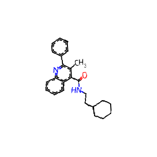 Cc1c(-c2ccccc2)nc2ccccc2c1C(=O)NCCC1CCCCC1